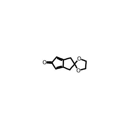 O=C1C=C2CC3(CC2=C1)OCCO3